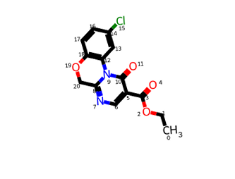 CCOC(=O)c1cnc2n(c1=O)-c1cc(Cl)ccc1OC2